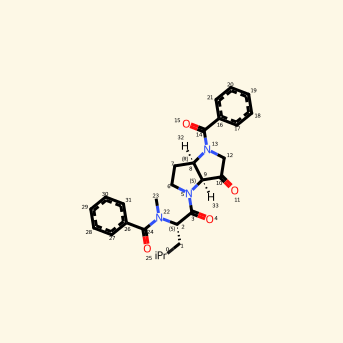 CC(C)C[C@@H](C(=O)N1CC[C@@H]2[C@H]1C(=O)CN2C(=O)c1ccccc1)N(C)C(=O)c1ccccc1